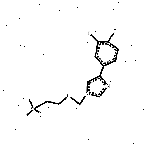 C[Si](C)(C)CCOCn1cnc(-c2ccc(F)c(F)c2)c1